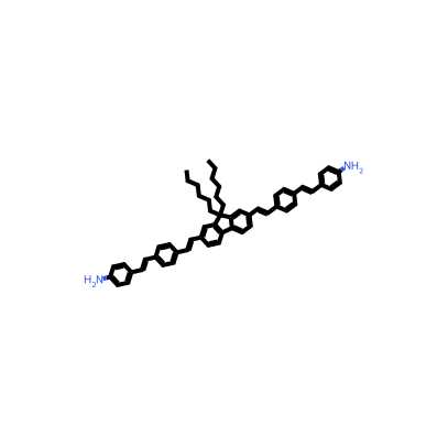 CCCCCCC1(CCCCCC)c2cc(/C=C/c3ccc(/C=C/c4ccc(N)cc4)cc3)ccc2-c2ccc(/C=C/c3ccc(/C=C/c4ccc(N)cc4)cc3)cc21